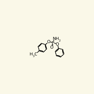 Cc1ccc(OP(N)(=O)Oc2ccccc2)cc1